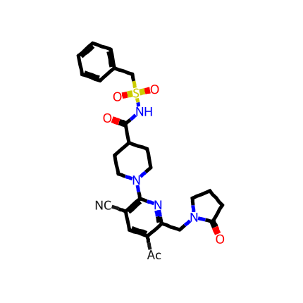 CC(=O)c1cc(C#N)c(N2CCC(C(=O)NS(=O)(=O)Cc3ccccc3)CC2)nc1CN1CCCC1=O